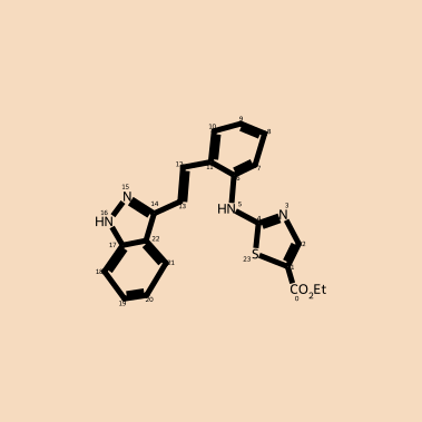 CCOC(=O)c1cnc(Nc2ccccc2C=Cc2n[nH]c3ccccc23)s1